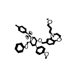 COCCCN1CCOc2ccc(CO[C@H]3CN(S(=O)(=O)c4ccc(C)cc4)[C@H](COc4ccccc4)C[C@@H]3c3ccc(OC)cc3)cc21